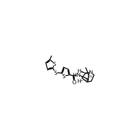 Cc1ccc(Sc2ccc(C(=O)N[C@@H]3C4CCN(CC4)[C@H]3C)s2)s1